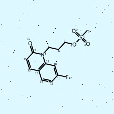 CS(=O)(=O)OCCCn1c(=O)ccc2ccc(F)cc21